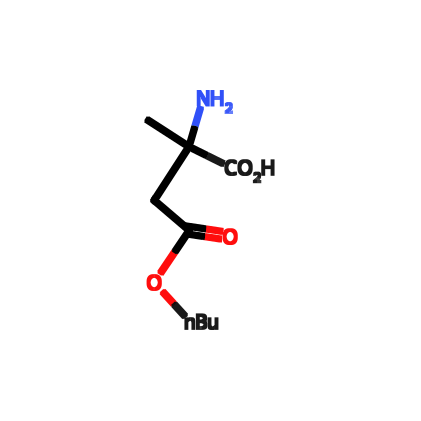 CCCCOC(=O)CC(C)(N)C(=O)O